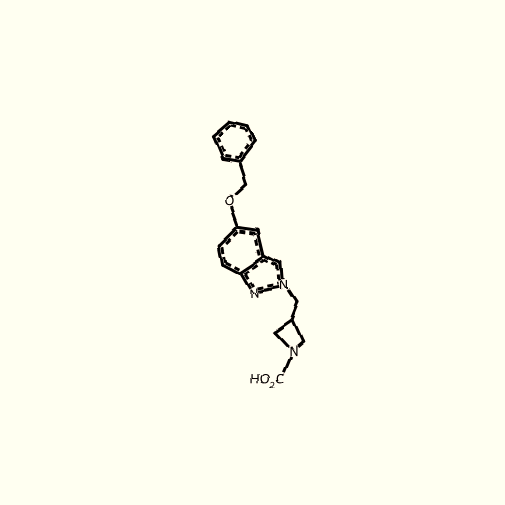 O=C(O)N1CC(Cn2cc3cc(OCc4ccccc4)ccc3n2)C1